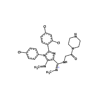 C=Nc1c(/C(=N\C)NCC(=O)N2CCNCC2)nc(-c2ccc(Cl)cc2Cl)n1-c1ccc(Cl)cc1